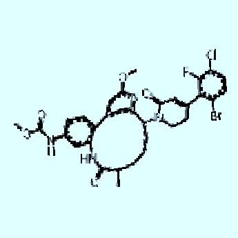 COC(=O)Nc1ccc2c(c1)NC(=O)[C@H](C)CCC[C@H](N1CCC(c3c(Br)ccc(Cl)c3F)=CC1=O)c1cc-2cc(OC)n1